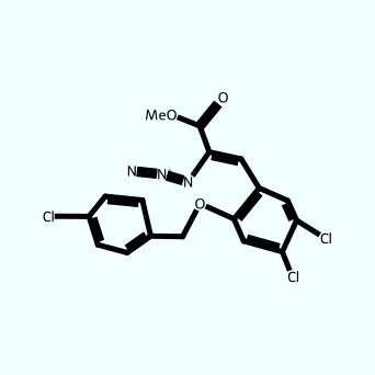 COC(=O)/C(=C/c1cc(Cl)c(Cl)cc1OCc1ccc(Cl)cc1)N=[N+]=[N-]